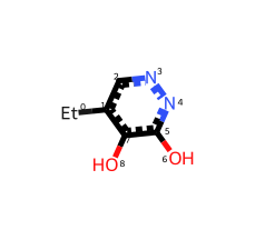 CCc1cnnc(O)c1O